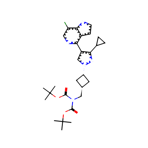 CC(C)(C)OC(=O)N(C[C@H]1C[C@H](n2cc(-c3ncc(F)c4[nH]ccc34)c(C3CC3)n2)C1)C(=O)OC(C)(C)C